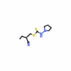 CCC(C#N)CSC(=S)NN1CCCC1